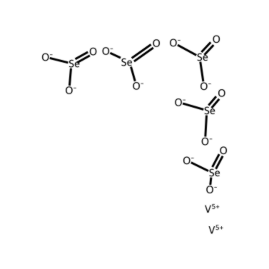 O=[Se]([O-])[O-].O=[Se]([O-])[O-].O=[Se]([O-])[O-].O=[Se]([O-])[O-].O=[Se]([O-])[O-].[V+5].[V+5]